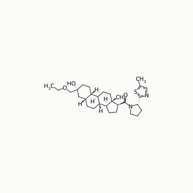 CCOC[C@@]1(O)CC[C@H]2[C@H](CC[C@@H]3[C@@H]2CC[C@]2(C)[C@@H](C(=O)N4CCC[C@H]4c4ncc(C)s4)CC[C@@H]32)C1